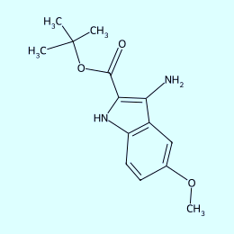 COc1ccc2[nH]c(C(=O)OC(C)(C)C)c(N)c2c1